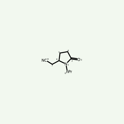 CCCN1C(=O)CCC1CC#N